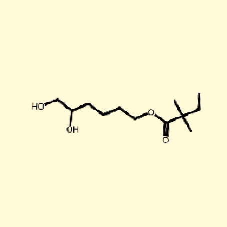 CCC(C)(C)C(=O)OCCCCC(O)CO